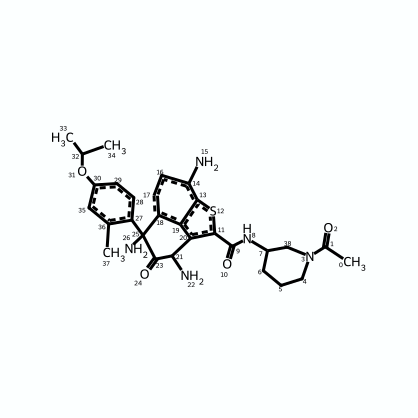 CC(=O)N1CCCC(NC(=O)c2sc3c(N)ccc4c3c2C(N)C(=O)C4(N)c2ccc(OC(C)C)cc2C)C1